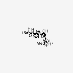 B[PH](O)(OC)OC[C@@H]1C[C@H](O)[C@H](n2cnc3c(NC(=O)NC(C)(C)C)ncnc32)O1